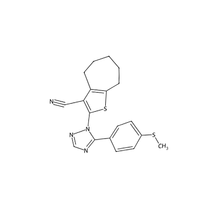 CSc1ccc(-c2ncnn2-c2sc3c(c2C#N)CCCCC3)cc1